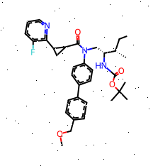 CC[C@H](C)[C@@H](CN(C(=O)C1CC1c1ncccc1F)c1ccc(-c2ccc(COC)cc2)cc1)NC(=O)OC(C)(C)C